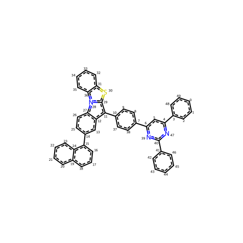 c1ccc(-c2cc(-c3ccc(-c4c5cc(-c6cccc7ccccc67)ccc5n5c4sc4ccccc45)cc3)nc(-c3ccccc3)n2)cc1